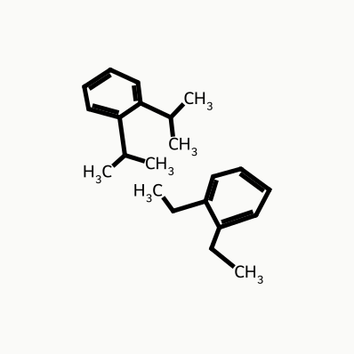 CC(C)c1ccccc1C(C)C.CCc1ccccc1CC